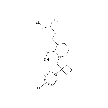 CCOC(C)OCC1CCCN(CC2(c3ccc(Cl)cc3)CCC2)C1CO